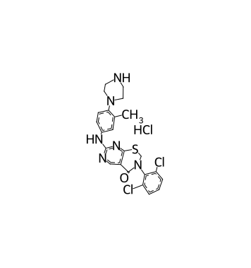 Cc1cc(Nc2ncc3c(n2)SCN(c2c(Cl)cccc2Cl)C3=O)ccc1N1CCNCC1.Cl